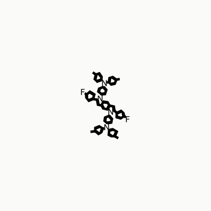 Cc1ccc(N(c2ccc(C)cc2)c2ccc(-n3c(-c4ccc(F)cc4)cc4cc5c(cc(-c6ccc(F)cc6)n5-c5ccc(N(c6ccc(C)cc6)c6ccc(C)cc6)cc5)cc43)cc2)cc1